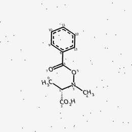 C[C@@H](C(=O)O)N(C)OC(=O)c1ccccc1